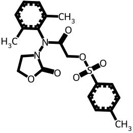 Cc1ccc(S(=O)(=O)OCC(=O)N(c2c(C)cccc2C)N2CCOC2=O)cc1